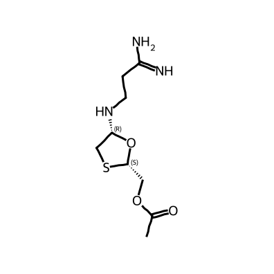 CC(=O)OC[C@H]1O[C@@H](NCCC(=N)N)CS1